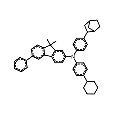 CC1(C)c2ccc(-c3ccccc3)cc2-c2ccc(N(c3ccc(C4CCCCC4)cc3)c3ccc(C4CC5CCC4C5)cc3)cc21